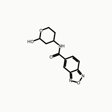 O=C(NC1CCOC(O)C1)c1ccc2nonc2c1